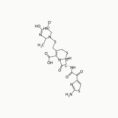 CC1N=C(O)[NH+]([O-])CN1SCC1=C(C(=O)O)N2C(=O)[C@@H](NC(=O)C(=O)c3csc(N)n3)[C@H]2SC1